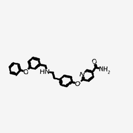 NC(=O)c1ccc(Oc2ccc(CCNCc3cccc(Oc4ccccc4)c3)cc2)nc1